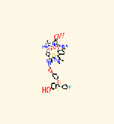 Cc1ncsc1-c1ccc([C@H](C)NC(=O)[C@@H]2C[C@@H](O)CN2C(=O)C(NC(=O)Cc2ccc(-c3ccn(CCOc4ccc(Oc5c(-c6ccc(F)cc6)sc6cc(O)ccc56)cc4)n3)cc2)C(C)(C)C)cc1